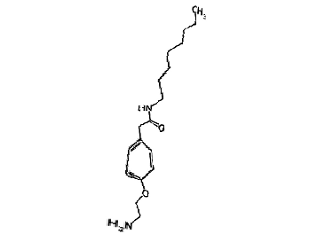 CCCCCCCCNC(=O)Cc1ccc(OCCN)cc1